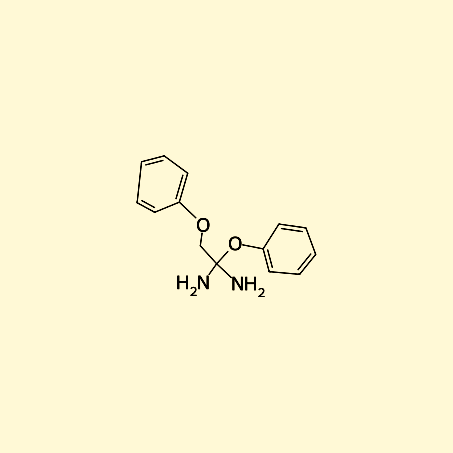 NC(N)(COc1ccccc1)Oc1ccccc1